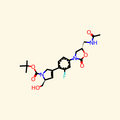 CC(=O)NC[C@H]1CN(c2ccc(C3=C[C@@H](CO)N(C(=O)OC(C)(C)C)C3)c(F)c2)C(=O)O1